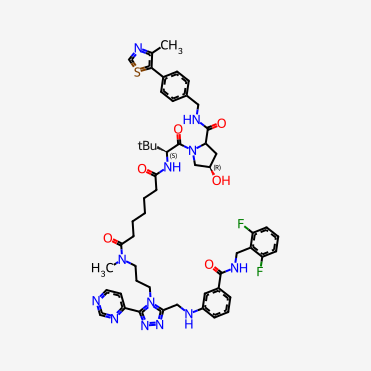 Cc1ncsc1-c1ccc(CNC(=O)C2C[C@@H](O)CN2C(=O)[C@@H](NC(=O)CCCCCC(=O)N(C)CCCn2c(CNc3cccc(C(=O)NCc4c(F)cccc4F)c3)nnc2-c2ccncn2)C(C)(C)C)cc1